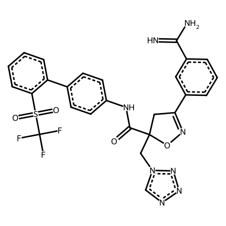 N=C(N)c1cccc(C2=NOC(Cn3cnnn3)(C(=O)Nc3ccc(-c4ccccc4S(=O)(=O)C(F)(F)F)cc3)C2)c1